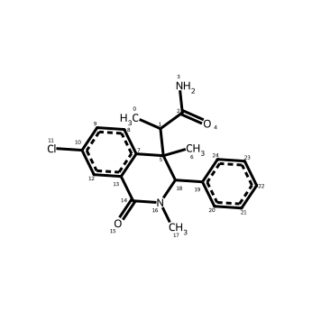 CC(C(N)=O)C1(C)c2ccc(Cl)cc2C(=O)N(C)C1c1ccccc1